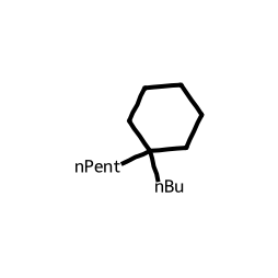 [CH2]CCCC1(CCCCC)CCCCC1